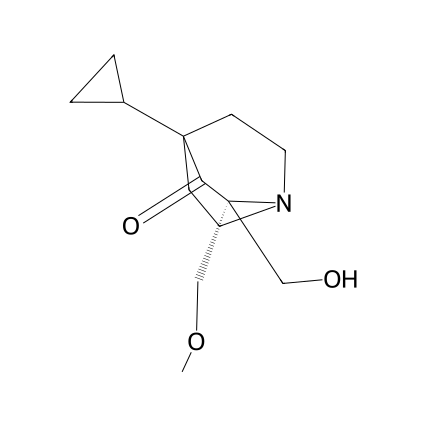 COC[C@]1(CO)C(=O)C2(C3CC3)CCN1CC2